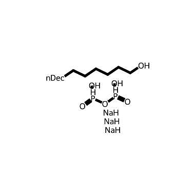 CCCCCCCCCCCCCCCCO.O=[PH](O)O[PH](=O)O.[NaH].[NaH].[NaH]